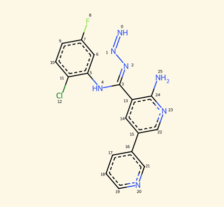 N=N/N=C(\Nc1cc(F)ccc1Cl)c1cc(-c2cccnc2)cnc1N